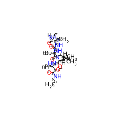 C=CCNC(=O)C(=O)C(CCC)NC(=O)[C@@H]1[C@@H]2[C@H](CN1C(=O)[C@@H](NC(=O)N[C@@H](C(=C)C)C(N)=O)C(C)(C)C)C2(C)C